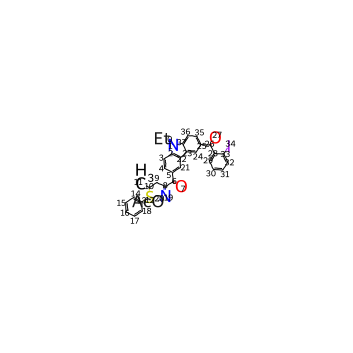 CCn1c2ccc(C(=O)/C(CC(C)Sc3ccccc3)=N/OC(C)=O)cc2c2cc(C(=O)c3ccccc3I)ccc21